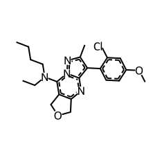 CCCCN(CC)c1c2c(nc3c(-c4ccc(OC)cc4Cl)c(C)nn13)COC2